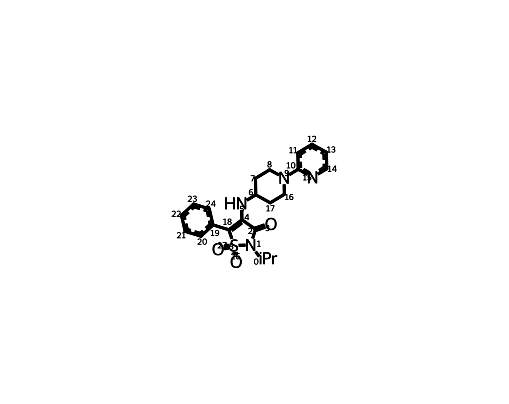 CC(C)N1C(=O)C(NC2CCN(c3ccccn3)CC2)=C(c2ccccc2)S1(=O)=O